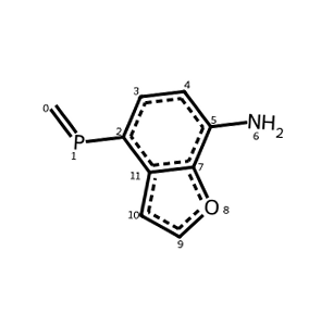 C=Pc1ccc(N)c2occc12